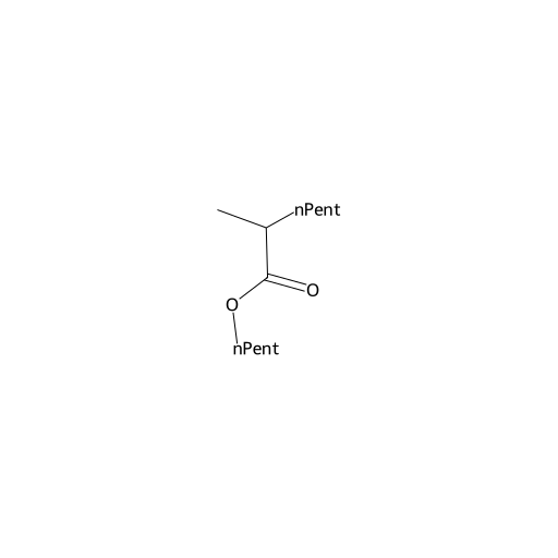 CCCCCOC(=O)C(C)CCCCC